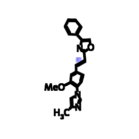 COc1cc(/C=C/c2nc(-c3ccccc3)co2)ccc1-n1cnc(C)c1